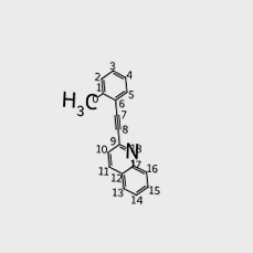 Cc1ccccc1C#Cc1ccc2ccccc2n1